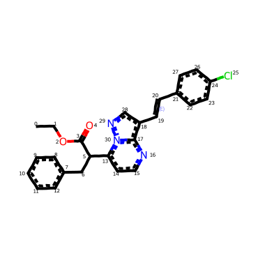 CCOC(=O)C(Cc1ccccc1)c1ccnc2c(/C=C/c3ccc(Cl)cc3)cnn12